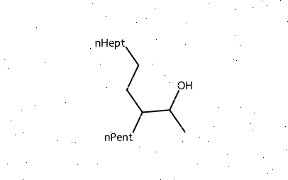 CCCCCCCCCC(CCCCC)C(C)O